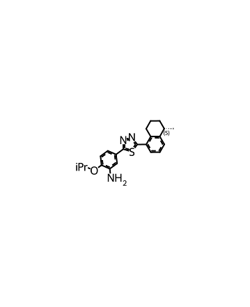 CC(C)Oc1ccc(-c2nnc(-c3cccc4c3CCC[C@@H]4C)s2)cc1N